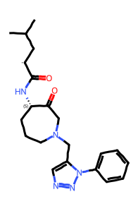 CC(C)C[CH]C(=O)N[C@H]1CCCN(Cc2cnnn2-c2ccccc2)CC1=O